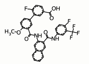 COc1ccc(-c2cc(C(=O)O)ccc2F)cc1C(=O)Nc1cc2ccccc2cc1C(=O)Nc1ccc(F)c(C(F)(F)F)c1